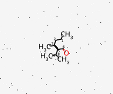 CCCC(C)=C(C=O)C(C)C